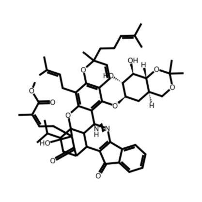 COC(=O)/C(C)=C\CC1(O)C(=O)C2CC(C(C)C)C13Oc1c(CC=C(C)C)c4c(c(O[C@@H]5C[C@@H]6COC(C)(C)O[C@H]6[C@H](O)[C@H]5O)c1C15NCCN1C1=C(C(=O)c6ccccc61)C2C53)C=CC(C)(CCC=C(C)C)O4